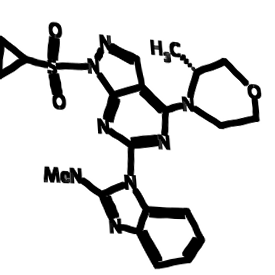 CNc1nc2ccccc2n1-c1nc(N2CCOC[C@H]2C)c2cnn(S(=O)(=O)C3CC3)c2n1